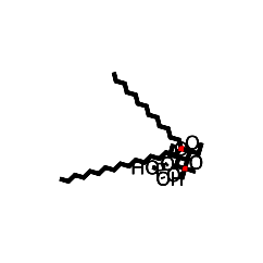 CCCCCCCCCCCCCCCCC(CCCCCCCCCCCCC)C1(C2(C3(C4(OP(O)O)CCO4)CCO3)CCO2)CCO1